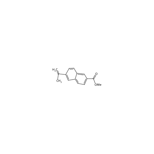 C=C(C)c1ccc2cc(C(=O)OC)ccc2c1